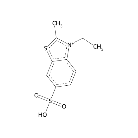 CC[n+]1c(C)sc2cc(S(=O)(=O)O)ccc21